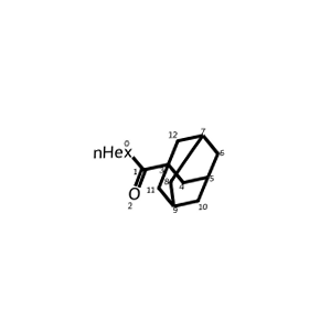 [CH2]CCCCCC(=O)C12CC3CC(CC(C3)C1)C2